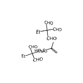 C=C(C)C(=O)O.CCC(C=O)(C=O)C=O.CCC(C=O)(C=O)C=O